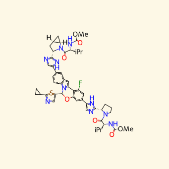 COC(=O)N[C@H](C(=O)N1CCC[C@H]1c1ncc(-c2cc(F)c3c(c2)OC(c2cnc(C4CC4)s2)n2c-3cc3cc(-c4cnc([C@@H]5C[C@H]6C[C@H]6N5C(=O)[C@@H](NC(=O)OC)C(C)C)[nH]4)ccc32)[nH]1)C(C)C